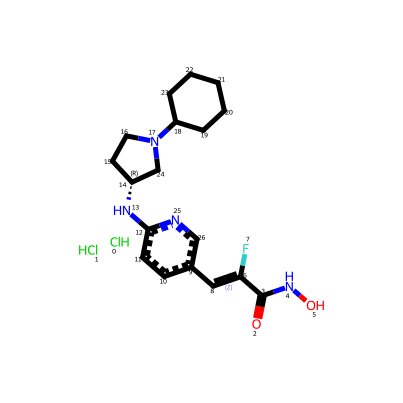 Cl.Cl.O=C(NO)/C(F)=C/c1ccc(N[C@@H]2CCN(C3CCCCC3)C2)nc1